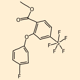 COC(=O)c1ccc(S(F)(F)(F)(F)F)cc1Oc1ccc(F)cc1